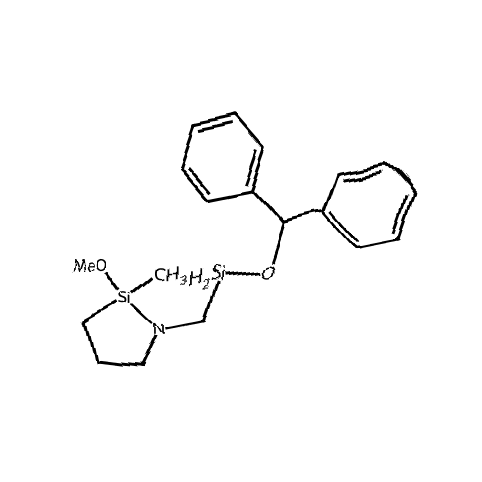 CO[Si]1(C)CCCN1C[SiH2]OC(c1ccccc1)c1ccccc1